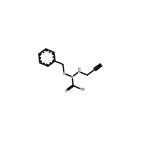 C#CCNN(OCc1ccccc1)C(=S)S